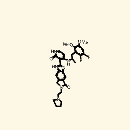 COc1cc(F)c(F)c(CC(C)Nc2cc[nH]c(=O)c2-c2nc3cc4c(cc3[nH]2)CN(CCN2CCCC2)C4=O)c1OC